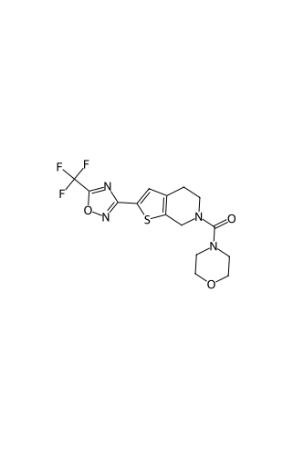 O=C(N1CCOCC1)N1CCc2cc(-c3noc(C(F)(F)F)n3)sc2C1